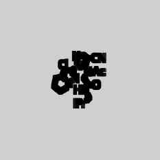 CC(=O)N(CC(=O)NCC(C)C)c1c(C#N)cnn1-c1nn2c(c1Cl)CCCC2